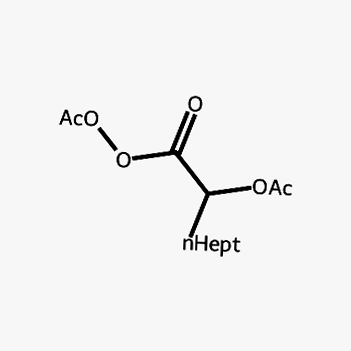 CCCCCCCC(OC(C)=O)C(=O)OOC(C)=O